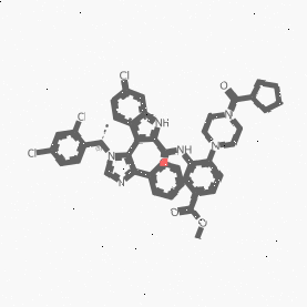 COC(=O)c1ccc(N2CCN(C(=O)C3CCCC3)CC2)c(NC(=O)c2[nH]c3cc(Cl)ccc3c2-c2c(-c3ccccc3)ncn2[C@@H](C)c2ccc(Cl)cc2Cl)c1